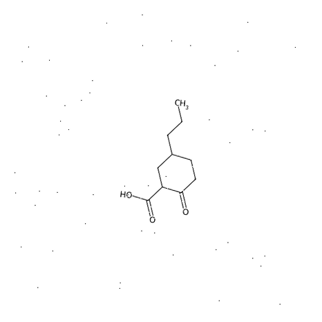 CCCC1CCC(=O)C(C(=O)O)C1